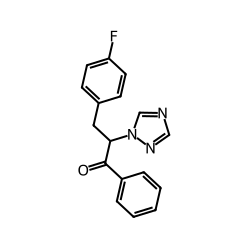 O=C(c1ccccc1)C(Cc1ccc(F)cc1)n1cncn1